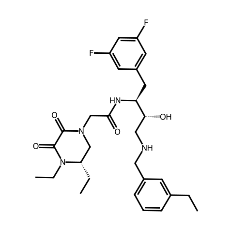 CCc1cccc(CNC[C@@H](O)[C@H](Cc2cc(F)cc(F)c2)NC(=O)CN2C[C@H](CC)N(CC)C(=O)C2=O)c1